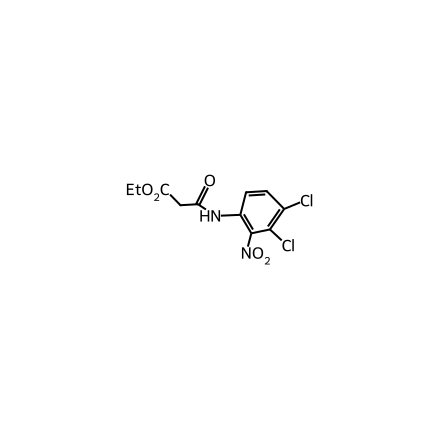 CCOC(=O)CC(=O)Nc1ccc(Cl)c(Cl)c1[N+](=O)[O-]